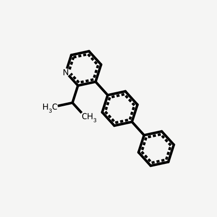 CC(C)c1ncccc1-c1ccc(-c2ccccc2)cc1